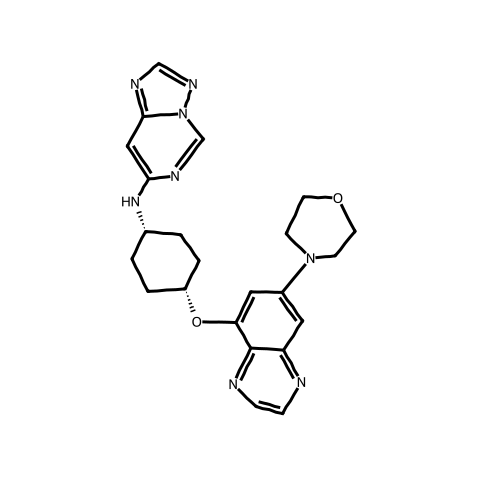 c1cnc2c(O[C@H]3CC[C@@H](Nc4cc5ncnn5cn4)CC3)cc(N3CCOCC3)cc2n1